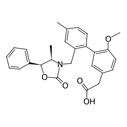 COc1ccc(CC(=O)O)cc1-c1ccc(C)cc1CN1C(=O)O[C@@H](c2ccccc2)[C@H]1C